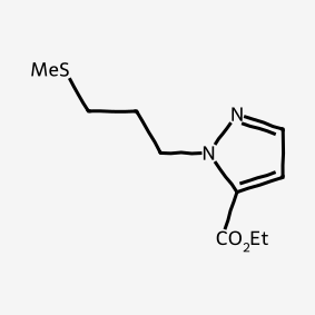 CCOC(=O)c1ccnn1CCCSC